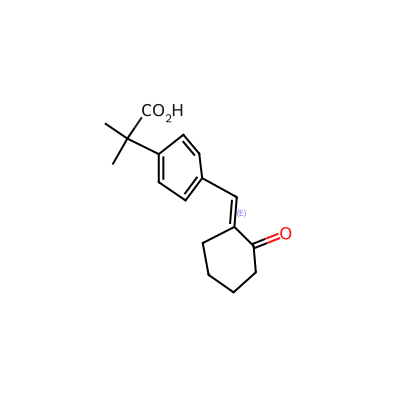 CC(C)(C(=O)O)c1ccc(/C=C2\CCCCC2=O)cc1